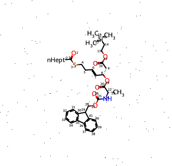 CCCCCCCC(=O)SCC/C=C/[C@H](CC(=O)OCC[Si](C)(C)C)OC(=O)[C@H](C)NC(=O)OCC1c2ccccc2-c2ccccc21